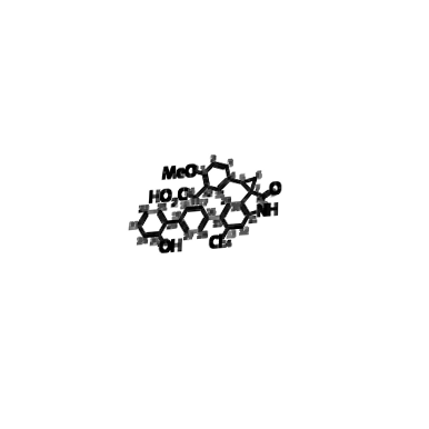 COc1ccc(C2CC23C(=O)Nc2cc(Cl)c(-c4ccc(-c5ccccc5O)cc4)cc23)cc1CC(=O)O